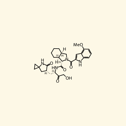 COc1cccc2[nH]c(C(=O)N3C[C@@H]4CCCC[C@@H]4[C@H]3C(=O)N[C@@H](C[C@@H]3CC4(CC4)NC3=O)C(=O)CO)cc12